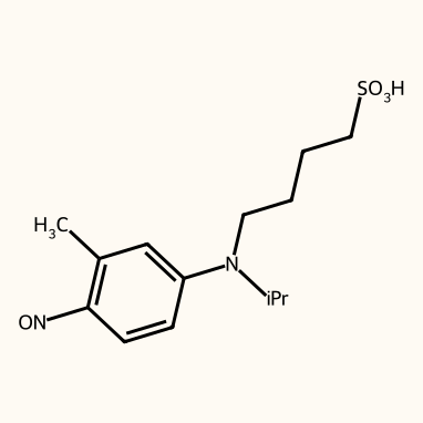 Cc1cc(N(CCCCS(=O)(=O)O)C(C)C)ccc1N=O